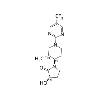 C[C@@H]1CN(c2ncc(C(F)(F)F)cn2)CC[C@H]1N1CC[C@@H](O)C1=O